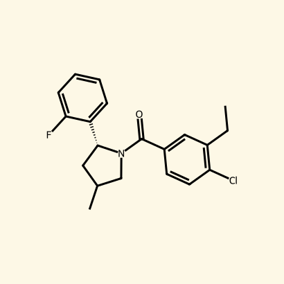 CCc1cc(C(=O)N2CC(C)C[C@@H]2c2ccccc2F)ccc1Cl